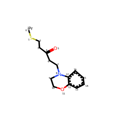 CC(C)SCCC(=O)CCN1CCOc2ccccc21